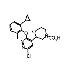 Cc1cccc(C2CC2)c1Oc1nnc(Cl)cc1C1CN(C(=O)O)CCO1